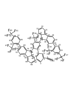 N#Cc1cccc(-c2cc(-n3c4ccccc4c4ccc(-c5ccc(C(F)(F)F)cc5C(F)(F)F)cc43)c(C(F)(F)F)cc2-n2c3ccccc3c3ccc(-c4ccc(C(F)(F)F)cc4C(F)(F)F)cc32)c1